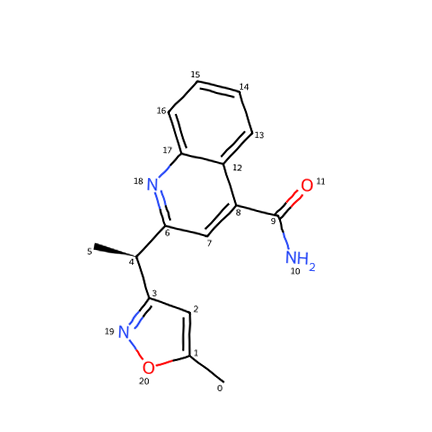 Cc1cc([C@@H](C)c2cc(C(N)=O)c3ccccc3n2)no1